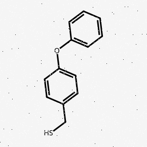 SCc1ccc(Oc2ccccc2)cc1